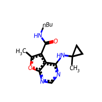 CCCCNC(=O)c1c(C)oc2ncnc(NC3(C)CC3)c12